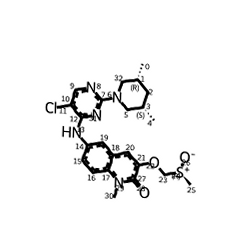 C[C@@H]1C[C@H](C)CN(c2ncc(Cl)c(Nc3ccc4c(c3)cc(OC[S@+](C)[O-])c(=O)n4C)n2)C1